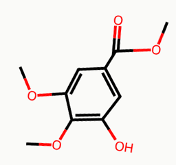 COC(=O)c1cc(O)c(OC)c(OC)c1